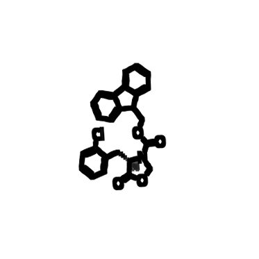 O=C1OCN(C(=O)OCC2c3ccccc3-c3ccccc32)[C@H]1Cc1ccccc1Cl